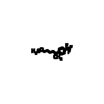 C=C(CCCCOC)c1ccc(C(F)(F)F)cc1